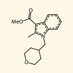 COC(=O)c1c(C)n(CC2CCOCC2)c2ccccc12